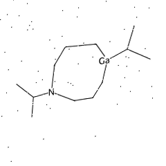 CC(C)N1CC[CH2][Ga]([CH](C)C)[CH2]CC1